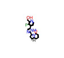 [2H]C12CC=CC(=O)N1C(c1ncc(-c3ccnc(CO)c3F)[nH]1)CC2